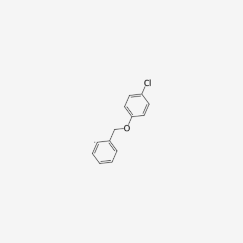 Clc1ccc(OCc2[c]cccc2)cc1